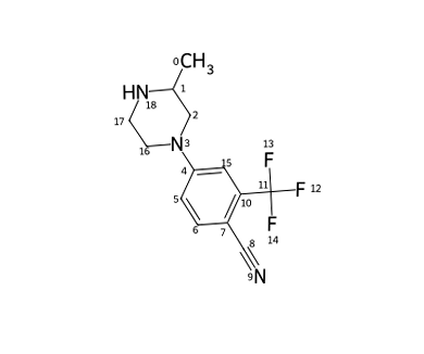 CC1CN(c2ccc(C#N)c(C(F)(F)F)c2)CCN1